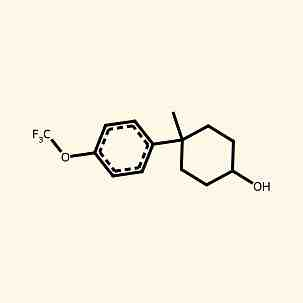 CC1(c2ccc(OC(F)(F)F)cc2)CCC(O)CC1